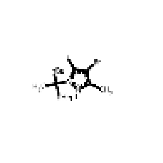 CCCCCCCC(C)(CCCC)n1nc(C)c(Br)c1I